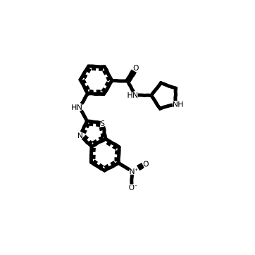 O=C(NC1CCNC1)c1cccc(Nc2nc3ccc([N+](=O)[O-])cc3s2)c1